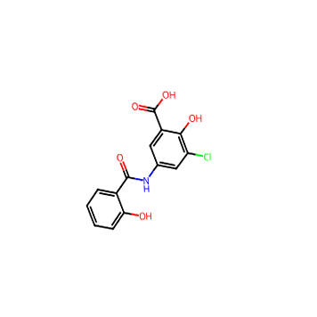 O=C(Nc1cc(Cl)c(O)c(C(=O)O)c1)c1ccccc1O